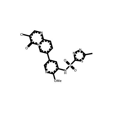 COc1ncc(-c2ccc3ncc(Cl)c(=O)n3c2)cc1NS(=O)(=O)c1nnc(C)s1